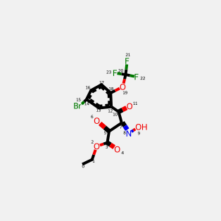 CCOC(=O)C(=O)/C(=N/O)C(=O)c1cc(Br)ccc1OC(F)(F)F